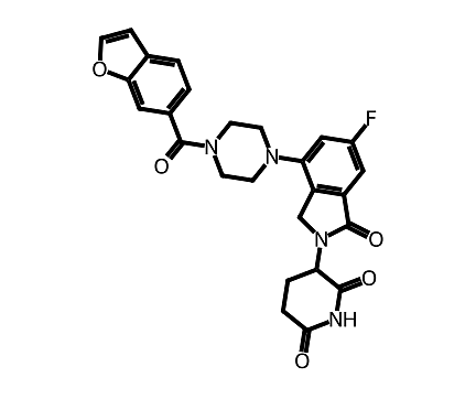 O=C1CCC(N2Cc3c(cc(F)cc3N3CCN(C(=O)c4ccc5ccoc5c4)CC3)C2=O)C(=O)N1